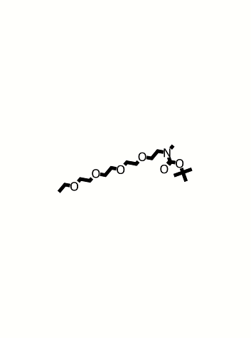 CCOCCOCCOCCOCCN(C)C(=O)OC(C)(C)C